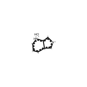 Cl.c1c[nH]c2cncc-2c1